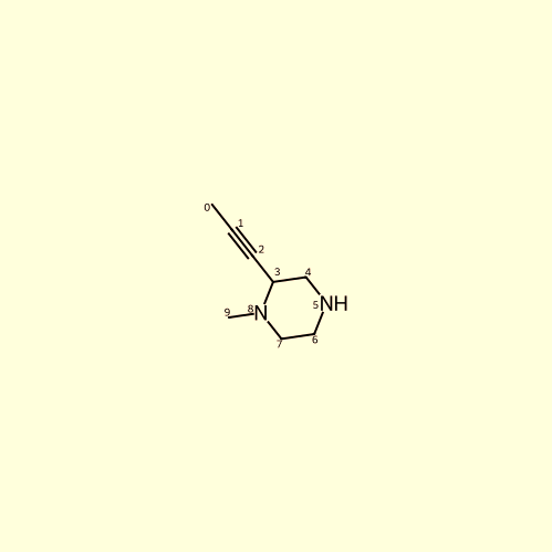 CC#CC1CNCCN1C